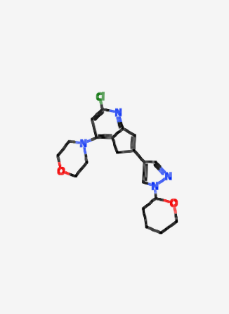 Clc1cc(N2CCOCC2)c2c(n1)C=C(c1cnn(C3CCCCO3)c1)C2